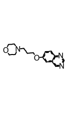 c1ncc2cc(OCCCN3CCOCC3)ccc2n1